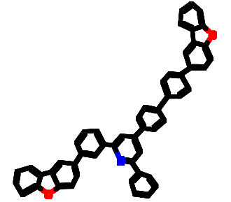 c1ccc(-c2cc(-c3ccc(-c4ccc(-c5ccc6oc7ccccc7c6c5)cc4)cc3)cc(-c3cccc(-c4ccc5oc6ccccc6c5c4)c3)n2)cc1